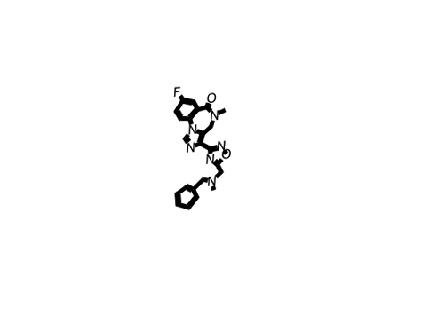 CN(Cc1ccccc1)Cc1nc(-c2ncn3c2CN(C)C(=O)c2cc(F)ccc2-3)no1